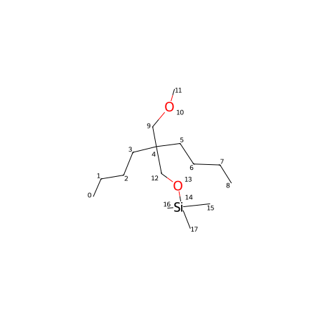 CCCCC(CCCC)(COC)CO[Si](C)(C)C